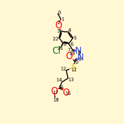 CCOc1ccc(-c2nnc(SCCCC(=O)OC)o2)c(Cl)c1